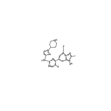 Cc1nc2c(F)cc(-c3nc(Nc4ccn(C5CCNCC5)n4)ncc3F)cc2n1C(C)C